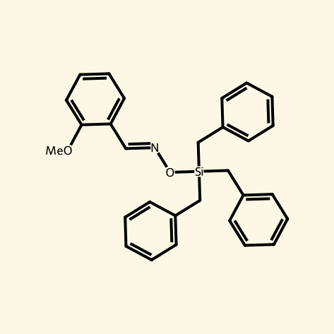 COc1ccccc1/C=N/O[Si](Cc1ccccc1)(Cc1ccccc1)Cc1ccccc1